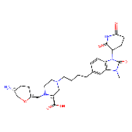 Cn1c(=O)n(C2CCC(=O)NC2=O)c2ccc(CCCCN3CCN(C[C@@H]4CC[C@@H](N)CO4)[C@H](C(=O)O)C3)cc21